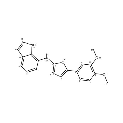 COc1ccc(-c2cnc(Nc3cccc4cn[nH]c34)o2)cc1OC